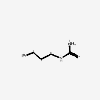 C=C(N)NCCCC(C)C